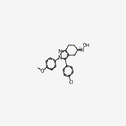 COc1ccc(-n2nc3c(c2-c2ccc(Cl)cc2)C/C(=N/O)CC3)cc1